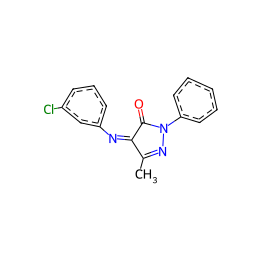 CC1=NN(c2ccccc2)C(=O)C1=Nc1cccc(Cl)c1